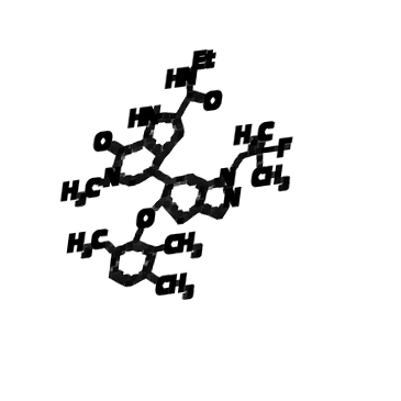 CCNC(=O)c1cc2c(-c3cc4c(cnn4CC(C)(C)F)cc3Oc3c(C)ccc(C)c3C)cn(C)c(=O)c2[nH]1